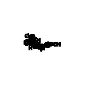 Cc1nc(Nc2cc(C3(Nc4c(C)ccc(Cl)c4C)Nc4ccccc4N3)ncn2)cc(N2CCN(CCO)CC2)n1